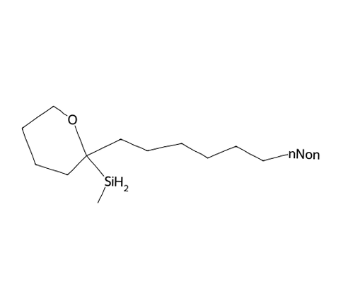 CCCCCCCCCCCCCCCC1([SiH2]C)CCCCO1